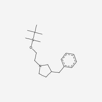 CC(C)(C)[Si](C)(C)OCCN1CCC(Cc2ccccc2)C1